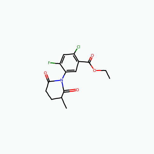 CCOC(=O)c1cc(N2C(=O)CCC(C)C2=O)c(F)cc1Cl